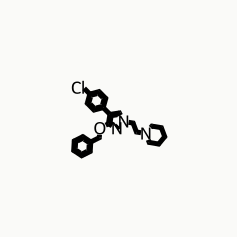 Clc1ccc(-c2cn(CCN3CCCCC3)nc2OCc2ccccc2)cc1